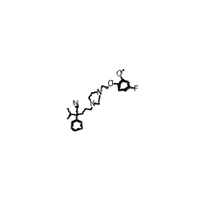 COc1cc(F)ccc1OCCN1CCN(CCCC(C#N)(c2ccccc2)C(C)C)CC1